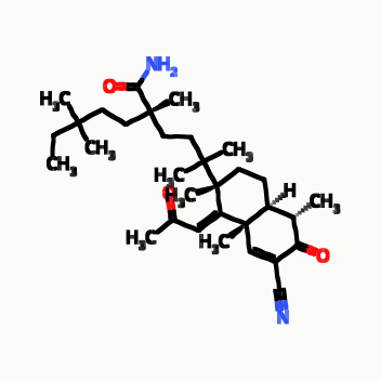 CCC(C)(C)CC[C@@](C)(CCC(C)(C)[C@]1(C)CC[C@H]2[C@H](C)C(=O)C(C#N)=C[C@]2(C)/C1=C/C(C)=O)C(N)=O